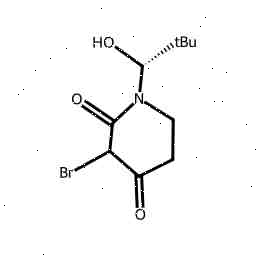 CC(C)(C)[C@@H](O)N1CCC(=O)C(Br)C1=O